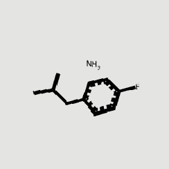 CC(C)Cc1ccc(F)cc1.N